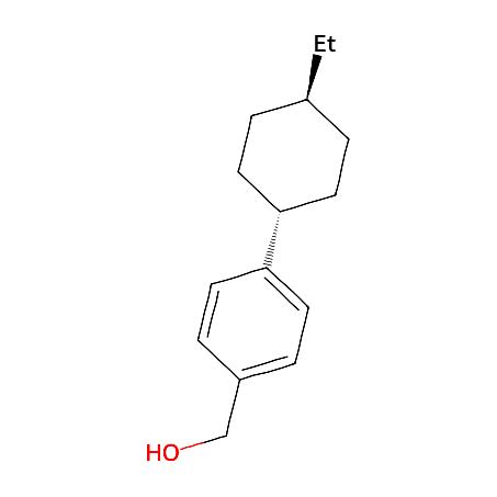 CC[C@H]1CC[C@H](c2ccc(CO)cc2)CC1